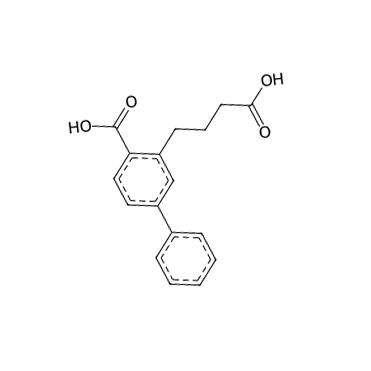 O=C(O)CCCc1cc(-c2ccccc2)ccc1C(=O)O